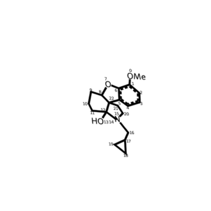 COc1cccc2c1OC1CCCC3(O)CN(CC4CC4)CCC213